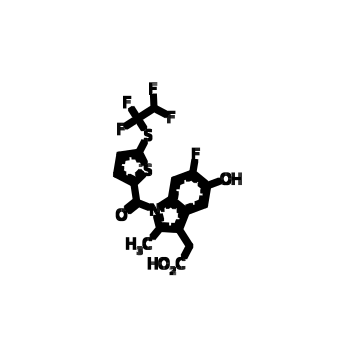 Cc1c(CC(=O)O)c2cc(O)c(F)cc2n1C(=O)c1ccc(SC(F)(F)C(F)F)s1